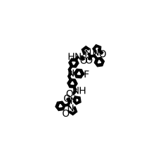 O=C(Nc1ccc(CN(Cc2ccc(NC(=O)[C@@H]3CCCN3C(=O)[C@H](c3ccccc3)N3CCCC3=O)cc2)c2ccc(F)cc2)cc1)[C@@H]1CCCN1C(=O)[C@H](c1ccccc1)N1CCCC1=O